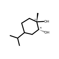 CC(C)C1CC[C@](C)(O)[C@H](O)C1